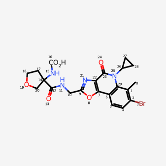 Cc1c(Br)ccc2c3oc(CNC(=O)C4(NC(=O)O)CCOC4)nc3c(=O)n(C3CC3)c12